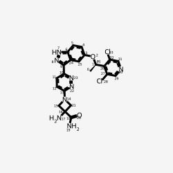 C[C@@H](Oc1ccc2[nH]nc(-c3ccc(N4CC(N)(C(N)=O)C4)nn3)c2c1)c1c(Cl)cncc1Cl